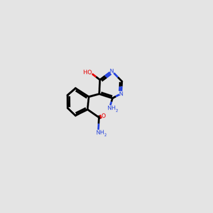 NC(=O)c1ccccc1-c1c(N)ncnc1O